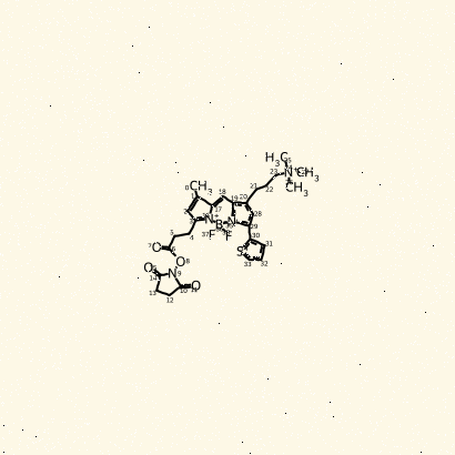 CC1=CC(CCC(=O)ON2C(=O)CCC2=O)=[N+]2C1=Cc1c(CCC[N+](C)(C)C)cc(-c3cccs3)n1[B-]2(F)F